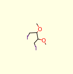 COC(CI)C(CI)OC